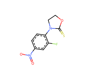 O=[N+]([O-])c1ccc(N2CCOC2=S)c(F)c1